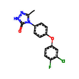 Cc1n[nH]c(=O)n1-c1ccc(Oc2ccc(F)c(Cl)c2)cc1